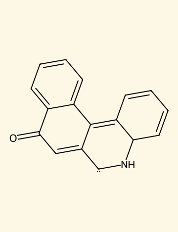 O=C1C=C2[C]NC3C=CC=CC3=C2c2ccccc21